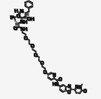 CC(C)C[C@H](NC(=O)[C@@H](O)[C@H](N)Cc1ccccc1)C(=O)NCCOCCOCCOCCOCCOc1ccc(C(=O)Nc2ccc3oc(-c4ccc(=O)n(C)n4)nc3c2)nc1